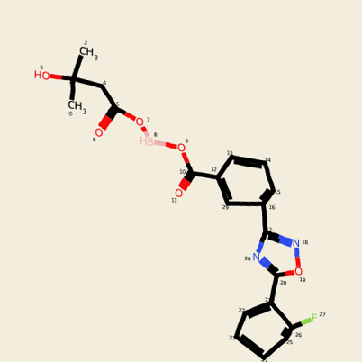 CC(C)(O)CC(=O)OBOC(=O)c1cccc(-c2noc(-c3ccccc3F)n2)c1